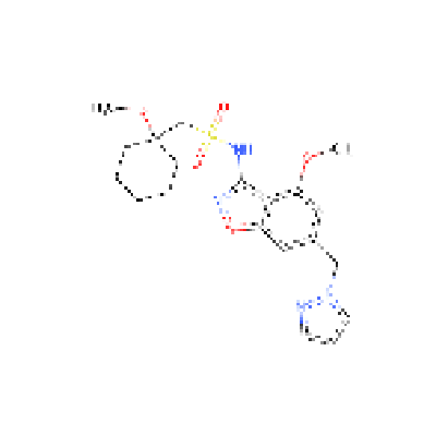 COc1cc(Cn2cccn2)cc2onc(NS(=O)(=O)CC3(OC)CCCCC3)c12